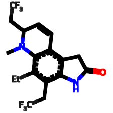 CCc1c(CC(F)(F)F)c2c(c3c1N(C)C(CC(F)(F)F)C=C3)CC(=O)N2